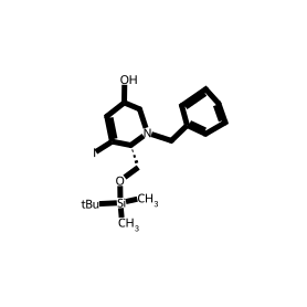 CC(C)(C)[Si](C)(C)OC[C@@H]1C(I)=CC(O)CN1Cc1ccccc1